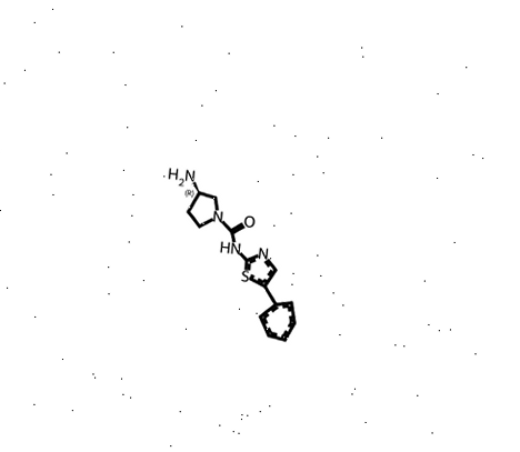 N[C@@H]1CCN(C(=O)Nc2ncc(-c3ccccc3)s2)C1